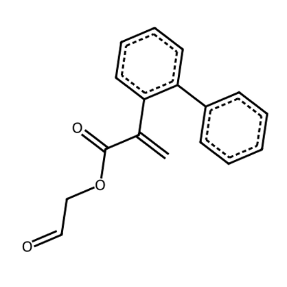 C=C(C(=O)OCC=O)c1ccccc1-c1ccccc1